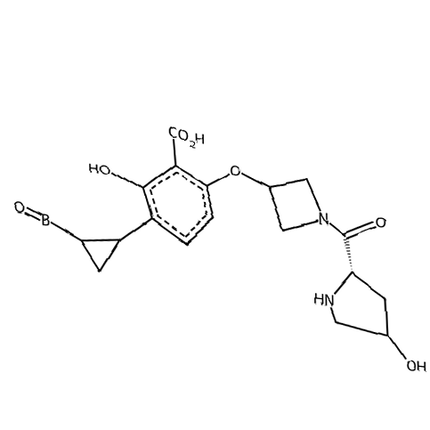 O=BC1CC1c1ccc(OC2CN(C(=O)[C@@H]3CC(O)CN3)C2)c(C(=O)O)c1O